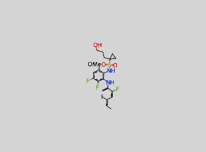 C=C(Nc1c(F)c(F)cc(OC)c1NS(=O)(=O)C1(CCCO)CC1)/C(F)=C\C(I)=C/C